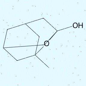 CC12CC3CC(C1)CC(O)(C3)O2